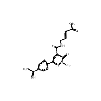 Cn1nc(-c2ccc(C(=N)N)cc2)cc(C(=O)NCC=CC(=O)O)c1=O